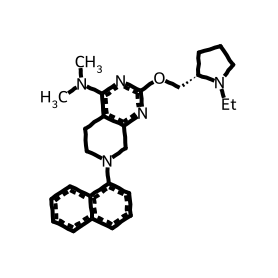 CCN1CCC[C@H]1COc1nc2c(c(N(C)C)n1)CCN(c1cccc3ccccc13)C2